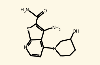 NC(=O)c1sc2nccc(N3CCCC(O)C3)c2c1N